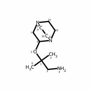 CC(C)(CN)OC1CN2CCN1CC2